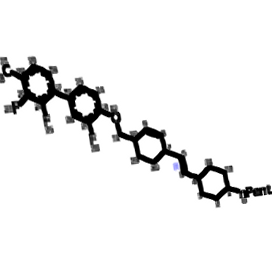 CCCCCC1CCC(/C=C/C2C=CC(COc3ccc(-c4ccc(C)c(F)c4F)cc3F)CC2)CC1